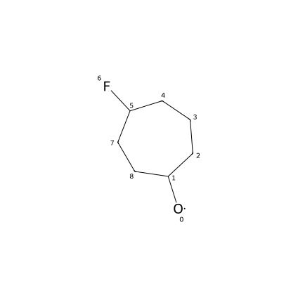 [O]C1CCCC(F)CC1